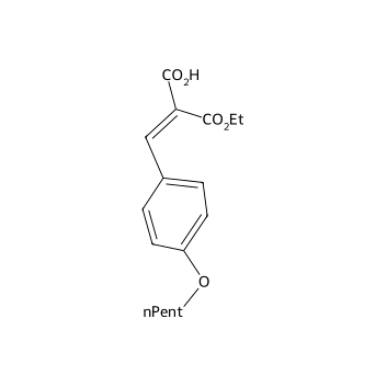 CCCCCOc1ccc(C=C(C(=O)O)C(=O)OCC)cc1